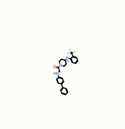 O=C(CNc1ccc(-c2ccccc2)cc1)N1CCC(Nc2ccccc2C(F)(F)F)CC1